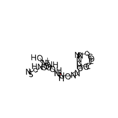 Cc1ncsc1-c1ccc(CNC(=O)[C@@H]2C[C@@H](O)CN2C(=O)[C@@H](NC(=O)COCCN2C[C@@H]3C[C@H]2CN3CCOCCN2CCN(CCOc3ccc4cc3COC/C=C/COCc3cccc(c3)-c3ccnc(n3)N4)CC2)C(C)(C)C)cc1